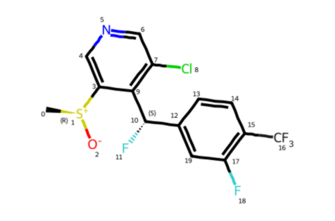 C[S@+]([O-])c1cncc(Cl)c1[C@@H](F)c1ccc(C(F)(F)F)c(F)c1